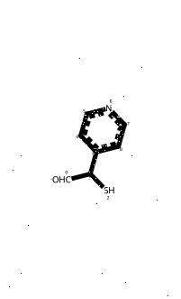 O=[C]C(S)c1ccncc1